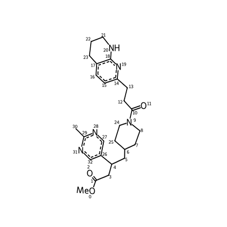 COC(=O)CC(CC1CCN(C(=O)CCc2ccc3c(n2)NCCC3)CC1)c1cnc(C)nc1